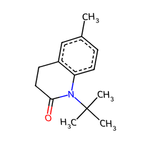 Cc1ccc2c(c1)CCC(=O)N2C(C)(C)C